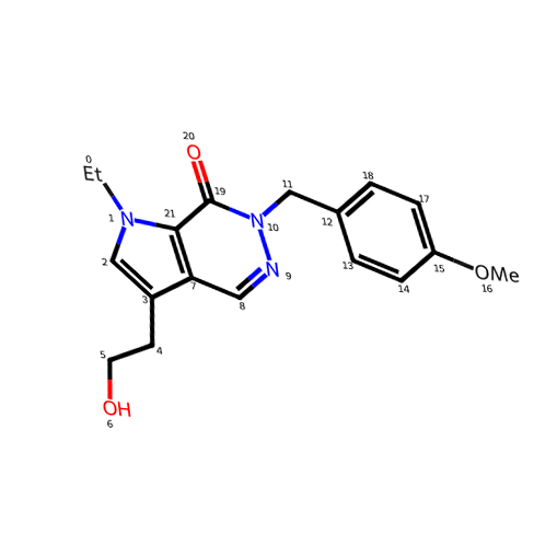 CCn1cc(CCO)c2cnn(Cc3ccc(OC)cc3)c(=O)c21